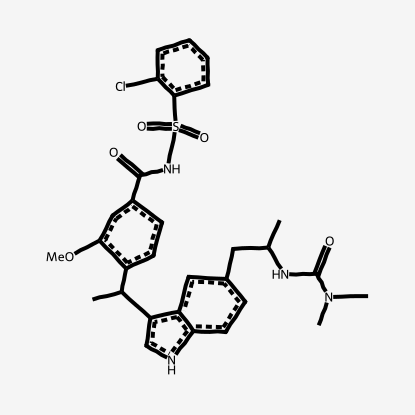 COc1cc(C(=O)NS(=O)(=O)c2ccccc2Cl)ccc1C(C)c1c[nH]c2ccc(CC(C)NC(=O)N(C)C)cc12